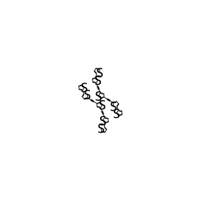 C(#Cc1cc(C#Cc2ccc(-c3cccs3)s2)c(-c2sc(C#Cc3ccc(-c4cccs4)s3)cc2C#Cc2ccc(-c3cccs3)s2)s1)c1ccc(-c2cccs2)s1